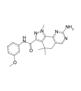 COc1cccc(NC(=O)c2nn(C)c3c2C(C)(C)Cc2cnc(N)nc2-3)c1